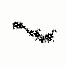 CCc1cc(Nc2ncc(Br)c(Nc3ccc4nc(COC)ccc4c3P(C)(C)=O)n2)c(OC)cc1N1CCC(NCCNCCc2cc(F)c(C3CCC(=O)NC3=O)c(F)c2)CC1